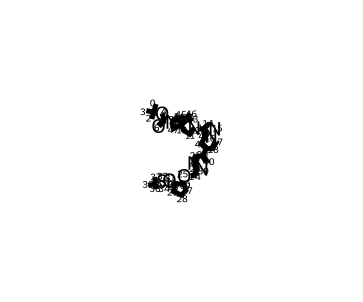 CC(C)(C)OC(=O)N1CC2(CCN(c3cnn4ccc(-c5cnc(CO[C@H]6CCC[C@@H]6O[Si](C)(C)C(C)(C)C)nc5)cc34)CC2(C)C)C1